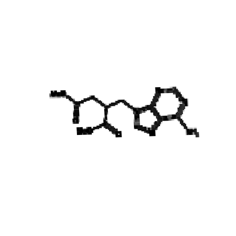 COC(=O)CC(Cn1cnc2c(N)ncnc21)C(=O)OC